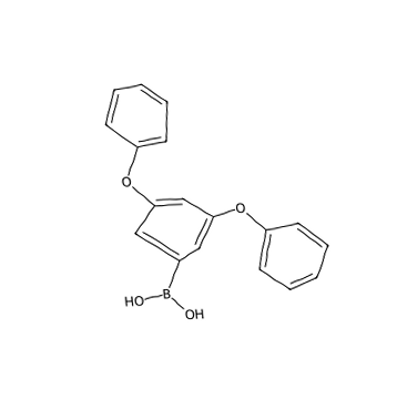 OB(O)c1cc(Oc2ccccc2)cc(Oc2ccccc2)c1